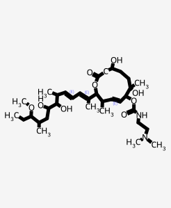 CCC(OC)C(C)CC(O)C(O)C(C)/C=C/C=C(\C)C1OC(=O)CC(O)CCC(C)(O)C(OC(=O)NCCN(C)C)/C=C/C1C